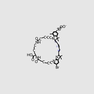 Cc1cc(SOO[O-])cc2c1N1CCCCCC(=O)NCCCCC(C(=O)O)NC(=O)CCCCC[n+]3cc(Br)cc4c3N=C(/C=C/C=C/C=C/1C2(C)C)C4(C)C